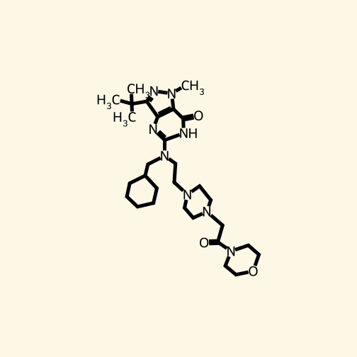 Cn1nc(C(C)(C)C)c2nc(N(CCN3CCN(CC(=O)N4CCOCC4)CC3)CC3CCCCC3)[nH]c(=O)c21